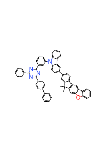 CC1(C)c2cc(-c3ccc4c(c3)c3ccccc3n4-c3cccc(-c4nc(-c5ccccc5)nc(-c5ccc(-c6ccccc6)cc5)n4)c3)ccc2-c2cc3c(cc21)oc1ccccc13